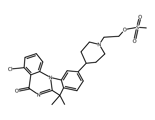 CC1(C)c2ccc(C3CCN(CCOS(C)(=O)=O)CC3)cc2-n2c1nc(=O)c1c(Cl)cccc12